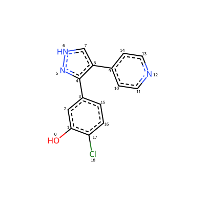 Oc1cc(-c2n[nH]cc2-c2ccncc2)ccc1Cl